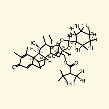 [2H]C([2H])([2H])C(C(=O)OCC(=O)[C@@]12O[C@@]([2H])(C3([2H])C([2H])([2H])C([2H])([2H])C([2H])([2H])C([2H])([2H])C3([2H])C)O[C@@H]1C[C@H]1[C@@H]3CCC4=CC(=O)C(C)=C(C)[C@]4(C(C)C)[C@H]3[C@@H](O)C(C)[C@@]12CC)C([2H])(C)C